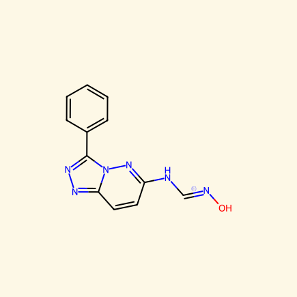 O/N=C/Nc1ccc2nnc(-c3ccccc3)n2n1